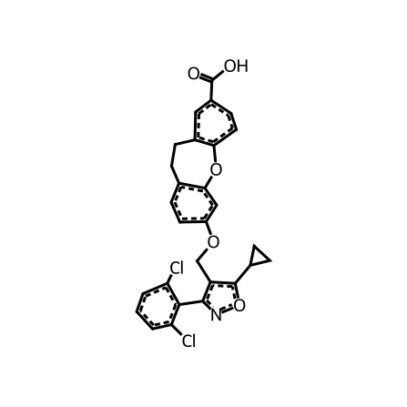 O=C(O)c1ccc2c(c1)CCc1ccc(OCc3c(-c4c(Cl)cccc4Cl)noc3C3CC3)cc1O2